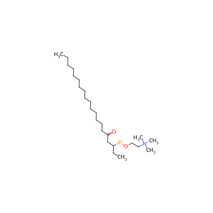 CCCCCCCCCCCCCCCC(=O)CC(CC)[P-]OCC[N+](C)(C)C